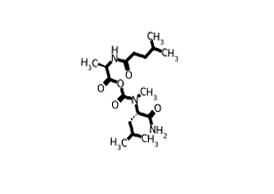 CC(C)CCC(=O)N[C@H](C)C(=O)OC(=O)N(C)[C@@H](CC(C)C)C(N)=O